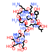 CCC(C)C(NC(=O)C(Cc1ccc(O)cc1)NC(=O)C1CCCN1C(=O)C(CCCCN)NC(=O)C(CCCCN)NC(=O)C(NC(=O)C(C)NC(=O)C(CC(N)=O)NC(=O)C(CO)NC(=O)CNC(=O)CNC(=O)C(CCC(=O)O)NC(=O)C(CCC(=O)O)NC(=O)C(CO)NC(=O)C1CCC(=O)N1)C(C)O)C(=O)NC(CC(C)C)C(=O)O